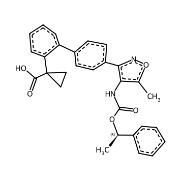 Cc1onc(-c2ccc(-c3ccccc3C3(C(=O)O)CC3)cc2)c1NC(=O)O[C@H](C)c1ccccc1